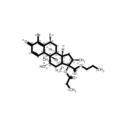 CCCOC(=O)[C@@]1(OC(=O)CC)[C@H](C)C[C@H]2[C@@H]3C[C@H](F)C4=C(Br)C(=O)C=C[C@]4(C)[C@@]3(Br)[C@@H](O)C[C@@]21C